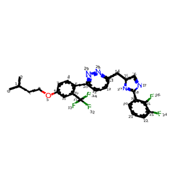 CC(C)CCOc1ccc(-c2ccc(CC3C=NC(c4cccc(F)c4F)=N3)nn2)c(C(F)(F)F)c1